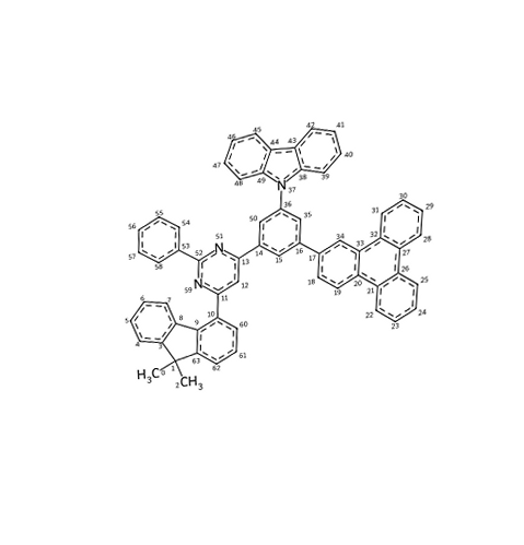 CC1(C)c2ccccc2-c2c(-c3cc(-c4cc(-c5ccc6c7ccccc7c7ccccc7c6c5)cc(-n5c6ccccc6c6ccccc65)c4)nc(-c4ccccc4)n3)cccc21